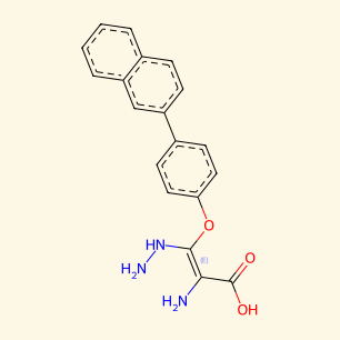 NN/C(Oc1ccc(-c2ccc3ccccc3c2)cc1)=C(\N)C(=O)O